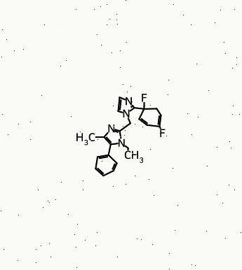 CCn1c(Cn2ccnc2C2(F)C=CC(F)=CC2)nc(C)c1-c1ccccc1